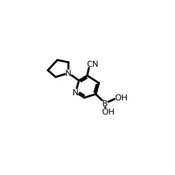 N#Cc1cc(B(O)O)cnc1N1CCCC1